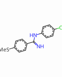 CSc1ccc(C(=N)Nc2ccc(Cl)cc2)cc1